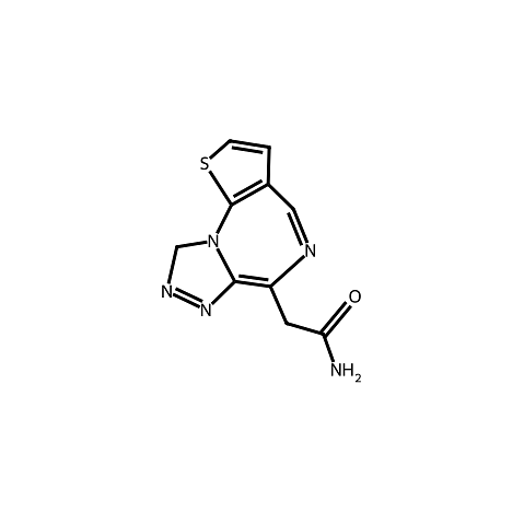 NC(=O)CC1=C2N=NCN2c2sccc2C=N1